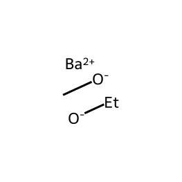 CC[O-].C[O-].[Ba+2]